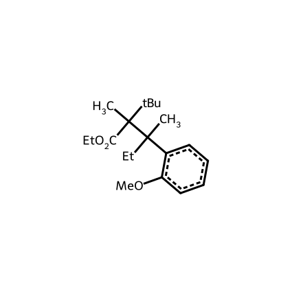 CCOC(=O)C(C)(C(C)(C)C)C(C)(CC)c1ccccc1OC